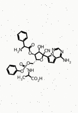 CC(N[P@](=O)(OC[C@H]1O[C@@](C#N)(c2ccc3c(N)ncnn23)[C@H](O)[C@@H]1OC(=O)C(N)c1ccccc1)Oc1ccccc1)C(=O)O